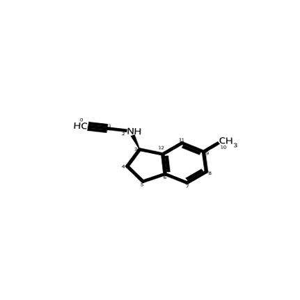 C#CN[C@@H]1CCc2ccc(C)cc21